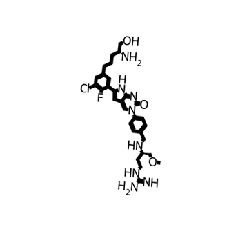 COC[C@@H](CCNC(=N)N)NCc1ccc(-n2cc3cc(-c4cc(CCC[C@@H](N)CO)cc(Cl)c4F)[nH]c3nc2=O)cc1